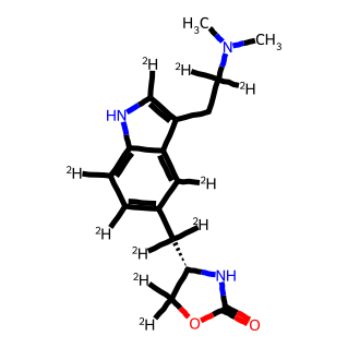 [2H]c1[nH]c2c([2H])c([2H])c(C([2H])([2H])[C@@H]3NC(=O)OC3([2H])[2H])c([2H])c2c1CC([2H])([2H])N(C)C